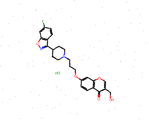 Cl.O=c1c(CO)coc2cc(OCCCN3CCC(c4noc5cc(F)ccc45)CC3)ccc12